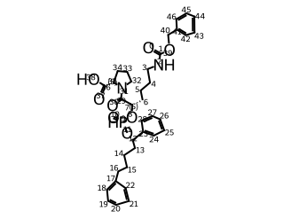 O=C(NCCCC[C@H](O[PH](=O)OC(CCCCc1ccccc1)c1ccccc1)C(=O)N1CCC[C@H]1C(=O)O)OCc1ccccc1